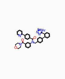 O=C(c1cccc(N(Cc2ccc(-c3ccccc3-c3nnn[nH]3)cc2)C(=O)c2ccc(-c3ccccn3)cc2)c1)N1CCOCC1